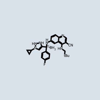 B[C@@](Nc1ccc2ncc(C#N)c(NCC(C)(C)C)c2c1)(C1=CN(C2CC2)NN1)c1ccc(F)cc1